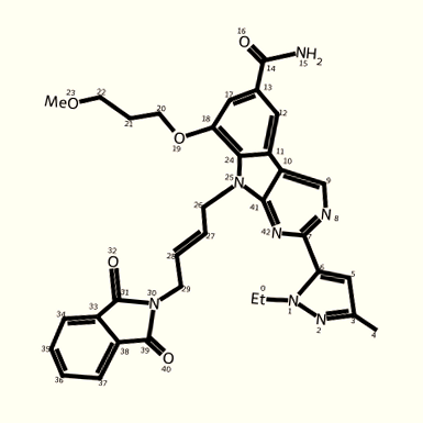 CCn1nc(C)cc1-c1ncc2c3cc(C(N)=O)cc(OCCCOC)c3n(CC=CCN3C(=O)c4ccccc4C3=O)c2n1